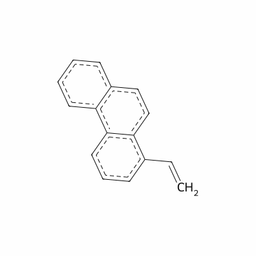 C=Cc1cccc2c1ccc1ccccc12